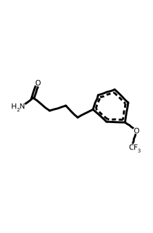 NC(=O)CCCc1cccc(OC(F)(F)F)c1